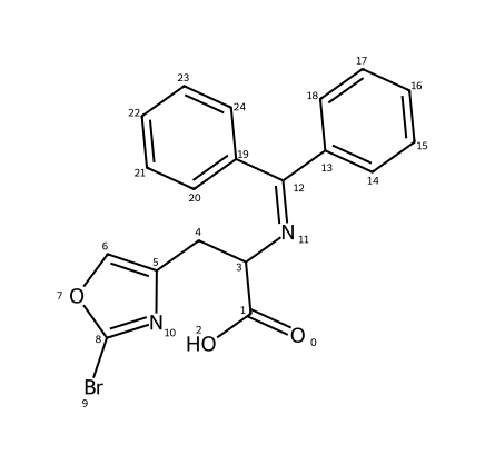 O=C(O)C(Cc1coc(Br)n1)N=C(c1ccccc1)c1ccccc1